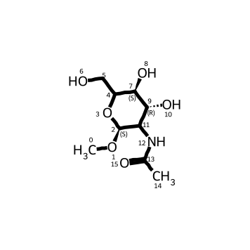 CO[C@H]1OC(CO)[C@@H](O)[C@H](O)C1NC(C)=O